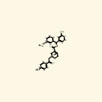 O=C(C[N+]12CCC(CC1)C(C(=O)OC(c1cccc(F)c1)c1cccc(F)c1)C2)c1ccc(O)cc1.[Br-]